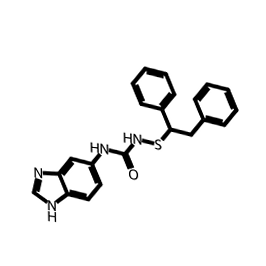 O=C(NSC(Cc1ccccc1)c1ccccc1)Nc1ccc2[nH]cnc2c1